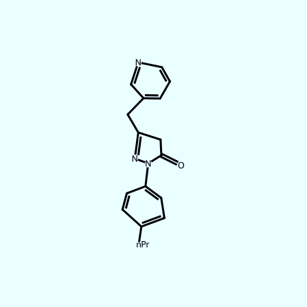 CCCc1ccc(N2N=C(Cc3cccnc3)CC2=O)cc1